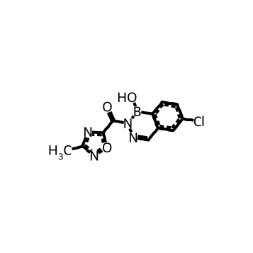 Cc1noc(C(=O)N2N=Cc3cc(Cl)ccc3B2O)n1